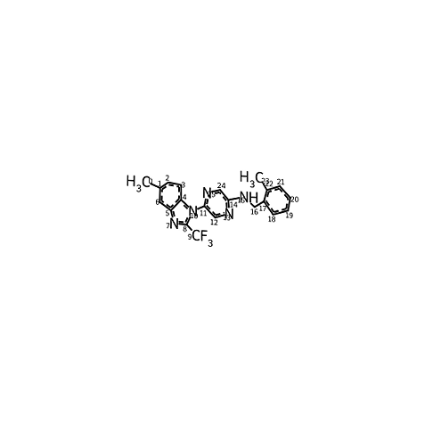 Cc1ccc2c(c1)nc(C(F)(F)F)n2-c1cnc(NCc2ccccc2C)cn1